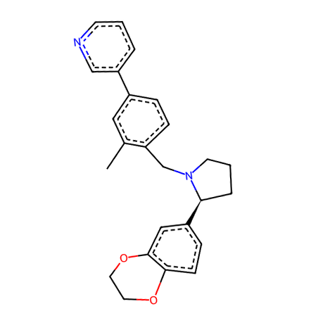 Cc1cc(-c2cccnc2)ccc1CN1CCC[C@H]1c1ccc2c(c1)OCCO2